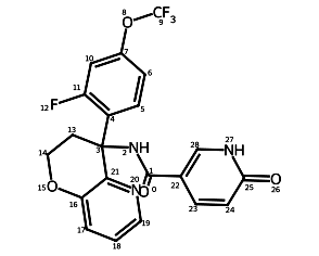 O=C(NC1(c2ccc(OC(F)(F)F)cc2F)CCOc2cccnc21)c1ccc(=O)[nH]c1